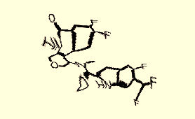 CN(C(=O)c1cc2cc(F)c(C(F)F)cc2[nH]1)[C@H]1COCc2[nH]c(=O)c3cc(F)c(F)cc3c21